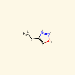 CCc1conn1